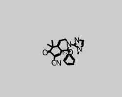 Cn1ccnc1N1CC=C2C(C)(C)C(=O)C(C#N)=C[C@]2(c2ccccc2)C1=O